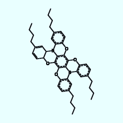 CCCCC1=CC2B3c4cc(CCCC)ccc4Oc4c5c6c(c(c43)OC2C=C1)Oc1ccc(CCCC)cc1B6c1cc(CCCC)ccc1O5